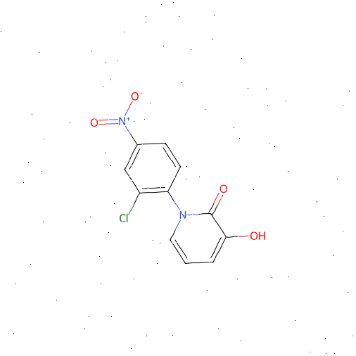 O=c1c(O)cccn1-c1ccc([N+](=O)[O-])cc1Cl